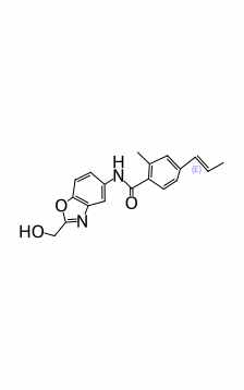 C/C=C/c1ccc(C(=O)Nc2ccc3oc(CO)nc3c2)c(C)c1